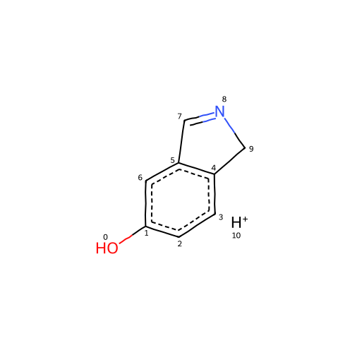 Oc1ccc2c(c1)C=NC2.[H+]